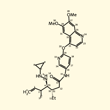 C=CC(F)[C@@H](NNC1CC1)[C@@H](CC)CC(=O)Nc1ccc(Oc2ccnc3cc(OC)c(OC)cc23)nc1